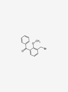 COc1c(CBr)cccc1C(=O)c1ccccc1